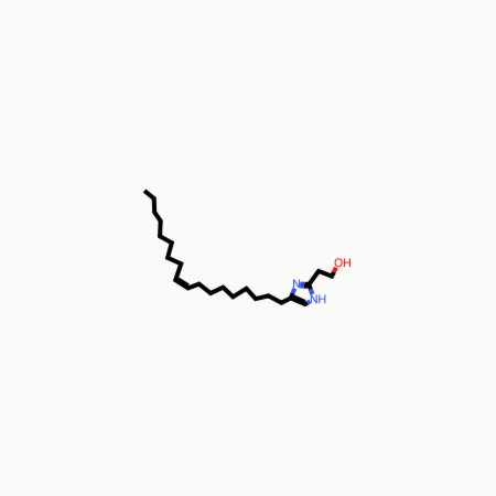 CCCCCCCC/C=C\CCCCCCCCc1c[nH]c(CCO)n1